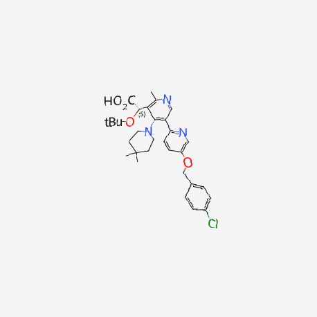 Cc1ncc(-c2ccc(OCc3ccc(Cl)cc3)cn2)c(N2CCC(C)(C)CC2)c1[C@H](OC(C)(C)C)C(=O)O